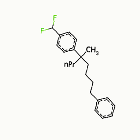 CCCC(C)(CCCCc1ccccc1)c1ccc(C(F)F)cc1